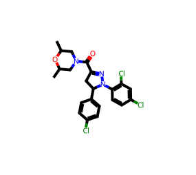 CC1CN(C(=O)C2=NN(c3ccc(Cl)cc3Cl)C(c3ccc(Cl)cc3)C2)CC(C)O1